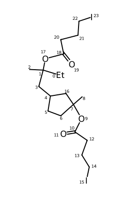 CCC(C)(CC1CCC(C)(OC(=O)CCCI)C1)OC(=O)CCCI